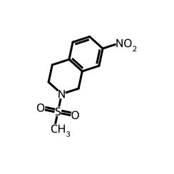 CS(=O)(=O)N1CCc2ccc([N+](=O)[O-])cc2C1